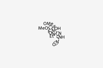 CCN1C(=O)N(c2c(F)c(OC)cc(OC)c2F)C(O)c2cnc3[nH]c(CN4CCOCC4)cc3c21